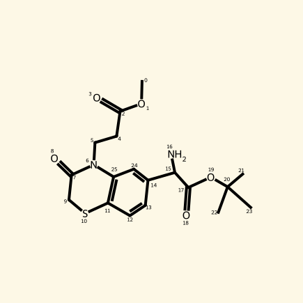 COC(=O)CCN1C(=O)CSc2ccc(C(N)C(=O)OC(C)(C)C)cc21